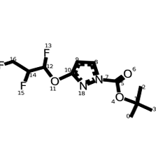 CC(C)(C)OC(=O)n1ccc(OC(F)C(F)CF)n1